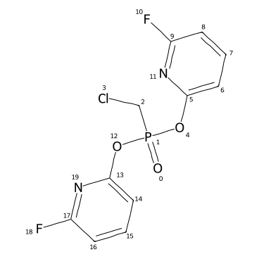 O=P(CCl)(Oc1cccc(F)n1)Oc1cccc(F)n1